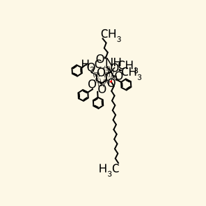 CCCCCCCCCCCCCCCCCCC[C@H]1OC(C)(C)O[C@]1([C@H](CC)NC(=O)CCCCC)[C@@H]1O[C@H](COCc2ccccc2)[C@H](OCc2ccccc2)[C@H](OCc2ccccc2)[C@H]1OCc1ccccc1